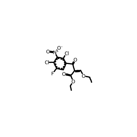 CCOC=C(C(=O)OCC)C(=O)c1cc(F)c(Cl)c([N+](=O)[O-])c1Cl